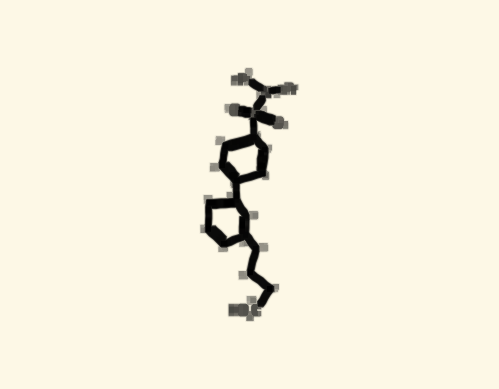 CCCN(CCC)S(=O)(=O)c1ccc(-c2cccc(CCCC(=O)O)c2)cc1